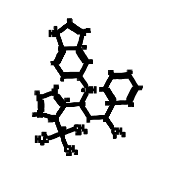 CC(CC(Nc1ccc2[nH]cnc2c1)c1nnnn1C(C)(C)C)c1ccccc1